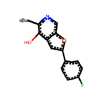 [CH2]CCCc1ncc2sc(-c3ccc(F)cc3)cc2c1O